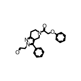 O=CCn1nc2c(c1-c1ccccc1)CN(C(=O)COc1ccccc1)CC2